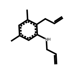 C=CCNc1cc(C)cc(C)c1CC=C